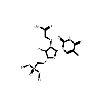 CCOP(=O)(CC[C@H]1O[C@@H](n2cc(C)c(=O)[nH]c2=O)[C@H](OCC(=O)NC)[C@@H]1O)OCC